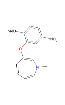 COc1ccc([N+](=O)[O-])cc1OC1=CN(C)C=CC=C1